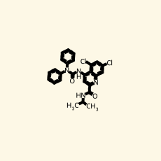 CC(C)NC(=O)c1cc(NC(=O)N(c2ccccc2)c2ccccc2)c2c(Cl)cc(Cl)cc2n1